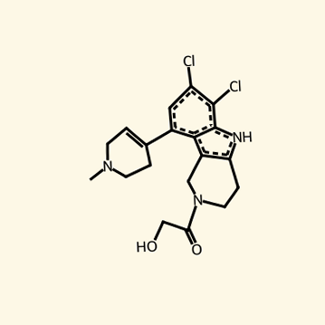 CN1CC=C(c2cc(Cl)c(Cl)c3[nH]c4c(c23)CN(C(=O)CO)CC4)CC1